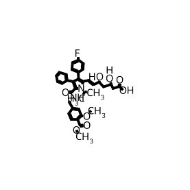 COC(=O)c1ccc(CNC(=O)c2c(-c3ccccc3)c(-c3ccc(F)cc3)c(C=CC(O)CC(O)CC(=O)O)n2C(C)C)cc1OC